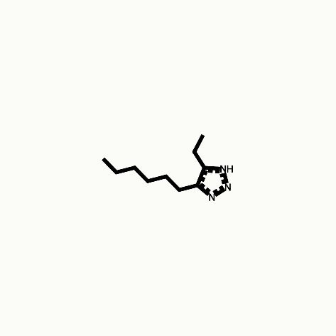 CCCCCCc1nn[nH]c1CC